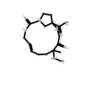 CC(C)NC1(C)CC/C=C/COC(=O)N2CCC(C(=O)C(C)C)(C2)NCC1=O